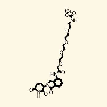 CC(C)(C)OC(=O)NCCOCCOCCOCCOCC(=O)Nc1cccc2c1CN(C1CCC(=O)NC1=O)C2=O